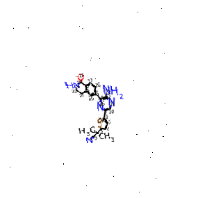 CC(C)(C#N)c1ccc(-c2cnc(N)c(-c3ccc4c(c3)CCNC4=O)n2)s1